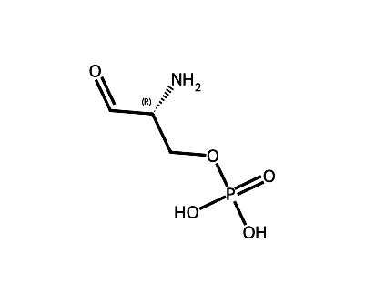 N[C@@H](C=O)COP(=O)(O)O